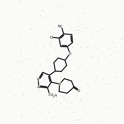 N#Cc1ccc(OC2CCC(c3cnnc(C(=O)O)c3N3CCC(=O)CC3)CC2)cc1Cl